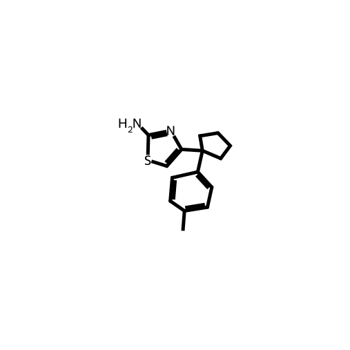 Cc1ccc(C2(c3csc(N)n3)CCCC2)cc1